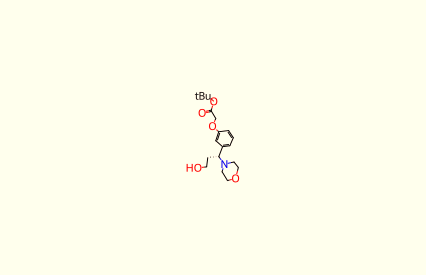 CC(C)(C)OC(=O)COc1cccc([C@@H](CCO)N2CCOCC2)c1